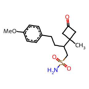 COc1ccc(CCC(CS(N)(=O)=O)C2(C)CC(=O)C2)cc1